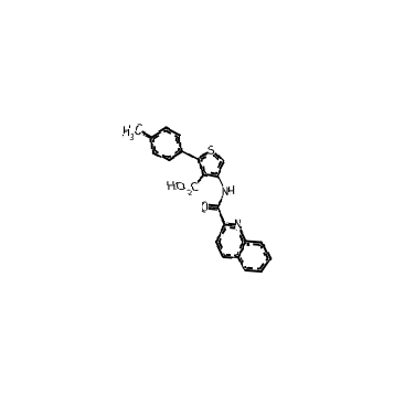 Cc1ccc(-c2scc(NC(=O)c3ccc4ccccc4n3)c2C(=O)O)cc1